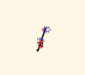 COC1C(OC(=O)NCCCCCCNC(=O)CN)CC[C@]2(CO2)C1[C@H](C)OCC=C(C)C